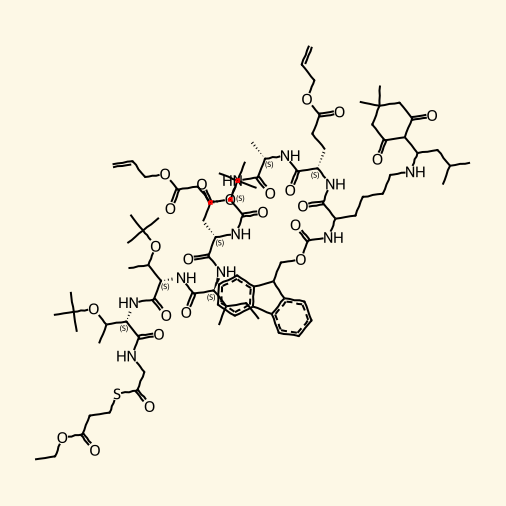 C=CCOC(=O)CC[C@H](NC(=O)C(CCCCNC(CC(C)C)C1C(=O)CC(C)(C)CC1=O)NC(=O)OCC1c2ccccc2-c2ccccc21)C(=O)N[C@@H](C)C(=O)N[C@@H](CCC(=O)OCC=C)C(=O)N[C@@H](CC(=O)OC(C)(C)C)C(=O)N[C@H](C(=O)N[C@H](C(=O)N[C@H](C(=O)NCC(=O)SCCC(=O)OCC)C(C)OC(C)(C)C)C(C)OC(C)(C)C)C(C)CC